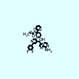 COC(=O)NC1(c2ccccn2)CCCN(c2cnc(-c3ccc(F)c(F)c3)cc2C(O)c2cnc3c(N)nccn23)C1